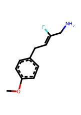 COc1ccc(C/C=C(\F)CN)cc1